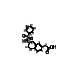 O=C(O)Cc1ccc2c(c1)CC(NS(=O)(=O)c1cccnc1)CC2